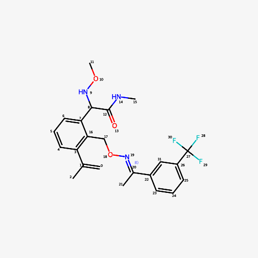 C=C(C)c1cccc(C(NOC)C(=O)NC)c1CO/N=C(\C)c1cccc(C(F)(F)F)c1